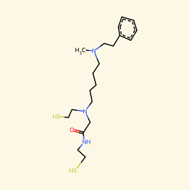 CN(CCCCCN(CCS)CC(=O)NCCS)CCc1ccccc1